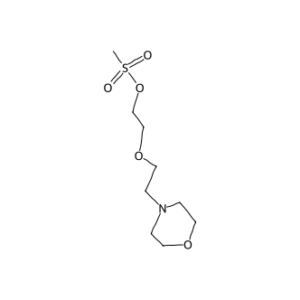 CS(=O)(=O)OCCOCCN1CCOCC1